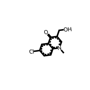 Cn1cc(CO)c(=O)c2cc(Cl)ccc21